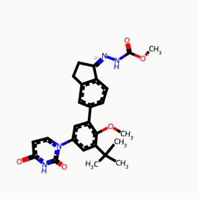 COC(=O)N/N=C1/CCc2cc(-c3cc(-n4ccc(=O)[nH]c4=O)cc(C(C)(C)C)c3OC)ccc21